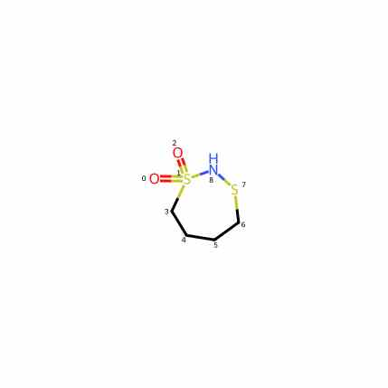 O=S1(=O)CCCCSN1